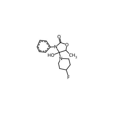 CC1OC(=O)N(c2ccccc2)C1(O)N1CCC(F)CC1